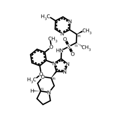 COc1cccc(OC)c1-n1c(NS(=O)(=O)[C@@H](C)[C@H](C)c2ncc(C)cn2)nnc1[C@H]1CN2CCC[C@H]2CO1